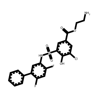 NCCOC(=O)c1cc(Cl)c(O)c(S(=O)(=O)Nc2cc(-c3ccccc3)c(F)cc2F)c1